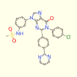 CS(=O)(=O)Nc1cccc(-n2cnc3c(=O)n(-c4ccc(Cl)cc4)c(-c4ccc(-c5ncccn5)cc4)nc32)c1